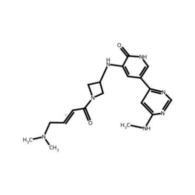 CNc1cc(-c2c[nH]c(=O)c(NC3CN(C(=O)/C=C/CN(C)C)C3)c2)ncn1